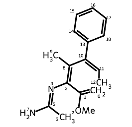 C=C(OC)C(/N=C(\C)N)=C(C)\C(=C/C)c1ccccc1